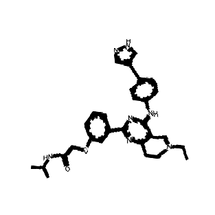 CCN1CCc2nc(-c3cccc(OCC(=O)NC(C)C)c3)nc(Nc3ccc(-c4cn[nH]c4)cc3)c2C1